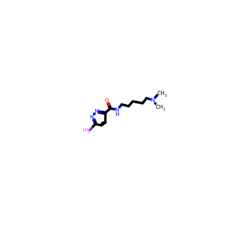 CN(C)CCCCCNC(=O)c1ccc([123I])nn1